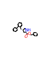 O=C(OCc1ccccc1)[C@H]1C[C@H](Cc2ccccc2-c2ccccc2)CN1